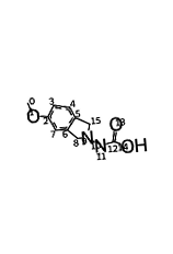 COc1ccc2c(c1)CN(N(C)C(=O)O)C2